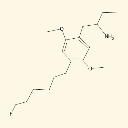 CCC(N)Cc1cc(OC)c(CCCCCCF)cc1OC